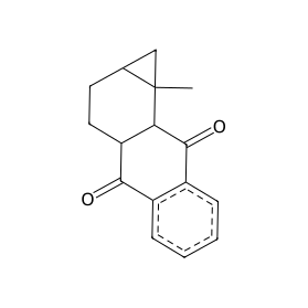 CC12CC1CCC1C(=O)c3ccccc3C(=O)C12